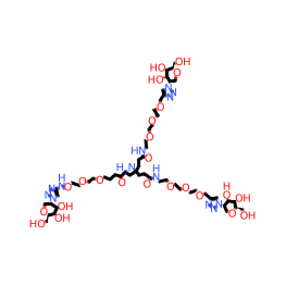 NC(CCC(=O)CCCOCCOCCONc1cn([C@H]2CO[C@H](CO)[C@H](O)[C@@H]2O)nn1)(CCC(=O)NCCOCCOCCOCc1cn([C@H]2CO[C@H](CO)[C@H](O)[C@@H]2O)nn1)CCC(=O)NCCOCCOCCOCc1cn([C@H]2CO[C@H](CO)[C@H](O)[C@@H]2O)nn1